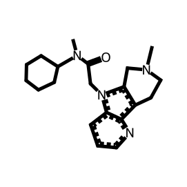 CN1CCc2c(n(CC(=O)N(C)C3CCCCC3)c3cccnc23)C1